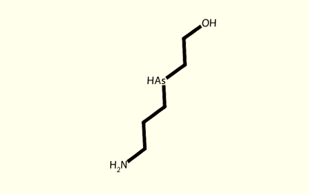 NCCC[AsH]CCO